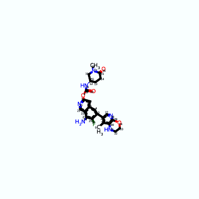 Cc1c(-c2cc3cc(OC(=O)N[C@H]4CCC(=O)N(C)C4)ncc3c(N)c2F)cnc2c1NCCO2